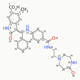 Cc1cc2c(cc1C(=O)O)NC(=O)C2=C(Nc1ccc(C(=O)NCCN2CCNC(=O)CC2)cc1)c1ccccc1